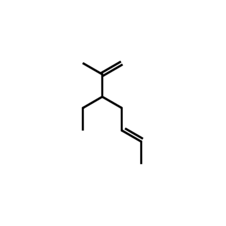 C=C(C)C(CC)CC=CC